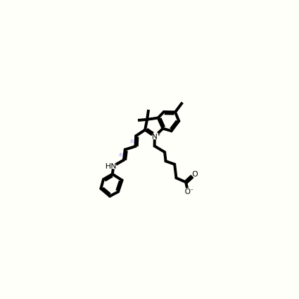 Cc1ccc2c(c1)C(C)(C)C(/C=C/C=C/Nc1ccccc1)=[N+]2CCCCCC(=O)[O-]